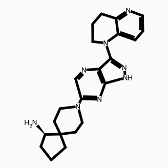 N[C@@H]1CCCC12CCN(c1cnc3c(N4CCCc5ncccc54)n[nH]c3n1)CC2